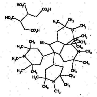 CCC(C1CC(C)(C)N(C)C(C)(C)C1)C(C1CC(C)(C)N(C)C(C)(C)C1)(C1CC(C)(C)N(C)C(C)(C)C1)C1CC(C)(C)N(C)C(C)(C)C1.O=C(O)CC(C(=O)O)C(CC(=O)O)C(=O)O